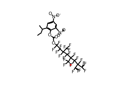 CCC(C)c1cc([N+](=O)[O-])cc([N+](=O)[O-])c1OC(=O)OC(F)(F)C(F)(F)C(F)(C(F)(F)F)C(F)(F)C(F)(C(F)(F)F)C(F)(F)C(F)(C(F)(F)F)C(F)(F)F